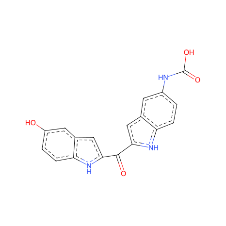 O=C(O)Nc1ccc2[nH]c(C(=O)c3cc4cc(O)ccc4[nH]3)cc2c1